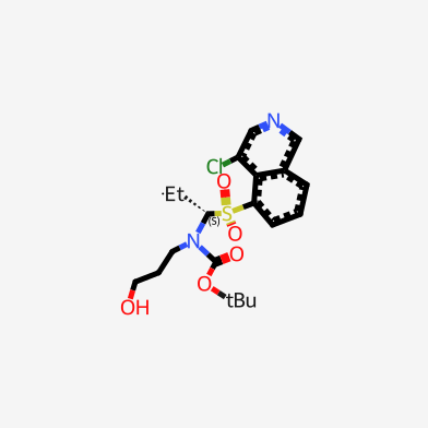 C[CH][C@@H](N(CCCO)C(=O)OC(C)(C)C)S(=O)(=O)c1cccc2cncc(Cl)c12